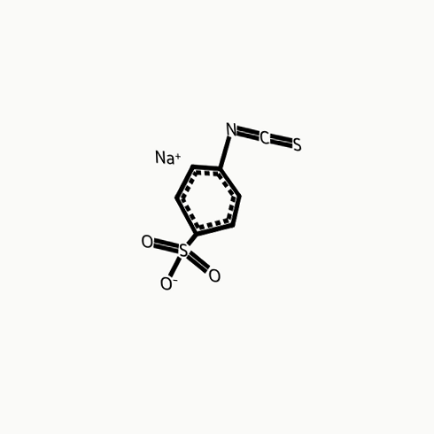 O=S(=O)([O-])c1ccc(N=C=S)cc1.[Na+]